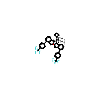 [CH3][Hf]([CH3])(=[C]1CCC1)([CH]1C=Cc2c(-c3ccc(C(F)(F)F)cc3)cccc21)[CH]1C=Cc2c(-c3ccc(C(F)(F)F)cc3)cccc21